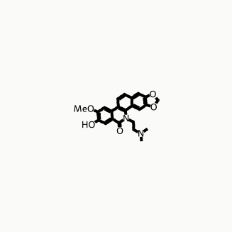 COc1cc2c(cc1O)c(=O)n(CCN(C)C)c1c3cc4c(cc3ccc21)OCO4